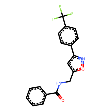 O=C(NCc1cc(-c2ccc(C(F)(F)F)cc2)no1)c1ccccc1